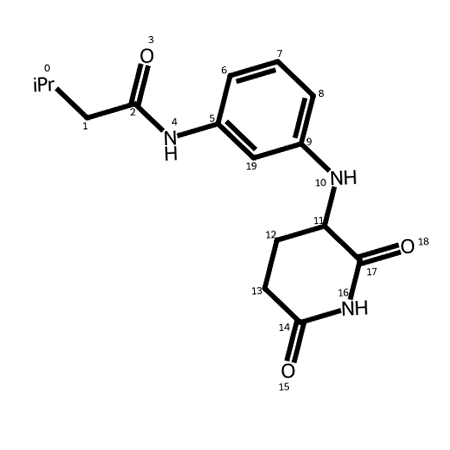 CC(C)CC(=O)Nc1cccc(NC2CCC(=O)NC2=O)c1